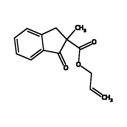 C=CCOC(=O)C1(C)Cc2ccccc2C1=O